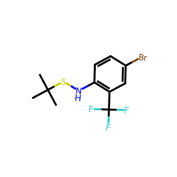 CC(C)(C)SNc1ccc(Br)cc1C(F)(F)F